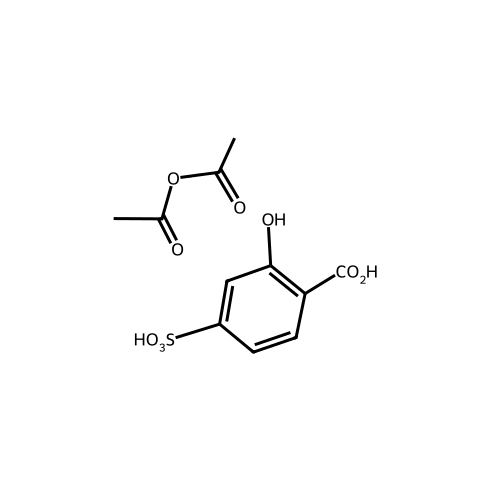 CC(=O)OC(C)=O.O=C(O)c1ccc(S(=O)(=O)O)cc1O